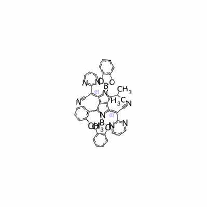 Cc1ccccc1-c1c2/c(=C(\C#N)c3ncccn3)n(B3Oc4ccccc4O3)c(C(C)C)c2/c(=C(\C#N)c2ncccn2)n1B1Oc2ccccc2O1